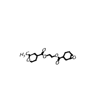 CC1CC(C(=O)OCCOC(=O)C2CCC3OC3C2)CCO1